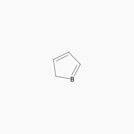 B1=CC=CC1